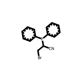 N#CC(CBr)P(c1ccccc1)c1ccccc1